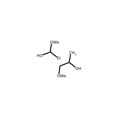 CCC(O)OC.COCC(C)O